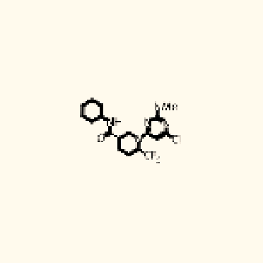 CNc1nc(Cl)cc(N2C[C@H](C(=O)NC3CCCCC3)CC[C@@H]2C(F)(F)F)n1